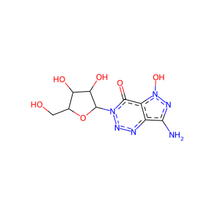 Nc1nn(O)c2c(=O)n(C3OC(CO)C(O)C3O)nnc12